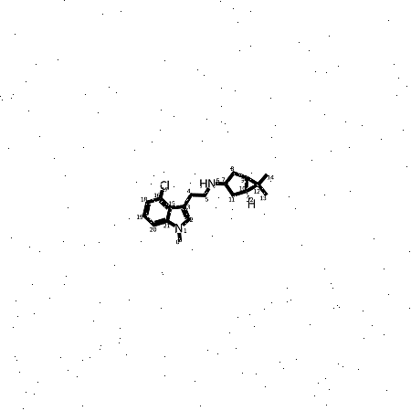 Cn1cc(CCNC2CC3[C@H](C2)C3(C)C)c2c(Cl)cccc21